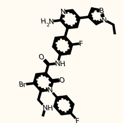 CCn1bcc(-c2cnc(N)c(-c3ccc(NC(=O)c4cc(Br)c(CNC)n(-c5ccc(F)cc5)c4=O)cc3F)c2)c1